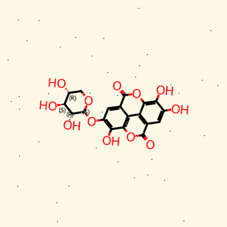 O=c1oc2c(O)c(O[C@@H]3OC[C@@H](O)[C@H](O)[C@H]3O)cc3c(=O)oc4c(O)c(O)cc1c4c23